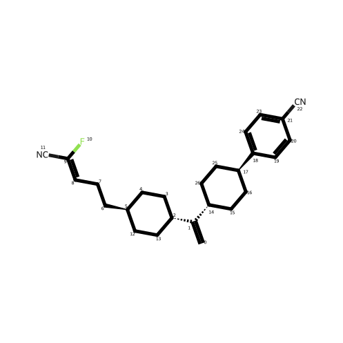 C=C([C@H]1CC[C@H](CC/C=C(\F)C#N)CC1)[C@H]1CC[C@H](c2ccc(C#N)cc2)CC1